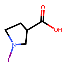 O=C(O)C1CCN(I)C1